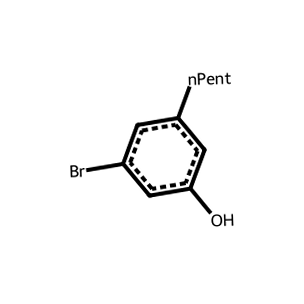 CCCCCc1cc(O)cc(Br)c1